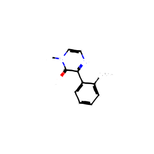 CNc1ccccc1-c1nccn(C)c1=O